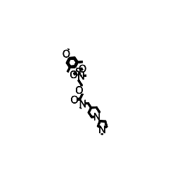 COc1cc(C)c(S(=O)(=O)N(C)CCOCC(=O)N(C)CC2CCN(C3CCN(C)C3)CC2)c(C)c1